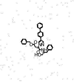 O=C(C[C@H](C(=O)N[C@H](CO)Cc1ccccc1)n1cc(-c2ccc(-c3ccccc3)cc2)cn1)OCc1ccccc1